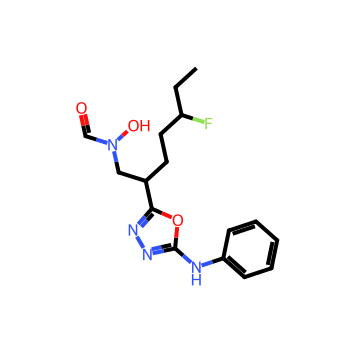 CCC(F)CCC(CN(O)C=O)c1nnc(Nc2ccccc2)o1